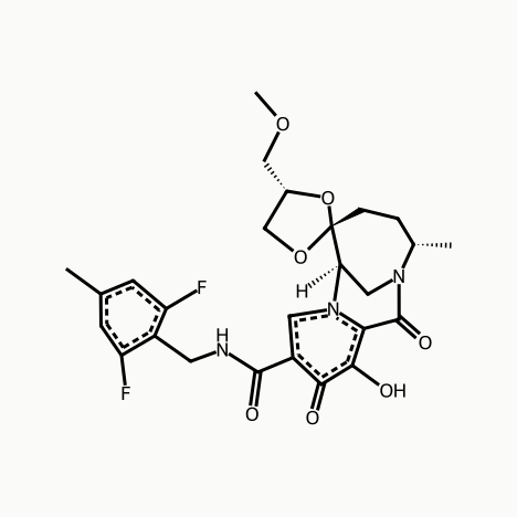 COC[C@H]1CO[C@]2(CC[C@H](C)N3C[C@H]2n2cc(C(=O)NCc4c(F)cc(C)cc4F)c(=O)c(O)c2C3=O)O1